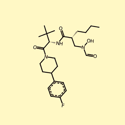 CCCC[C@H](CN(O)C=O)C(=O)N[C@H](C(=O)N1CCC(c2ccc(F)cc2)CC1)C(C)(C)C